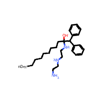 CCCCCCCCCCCCCCCCCCC(O)(NCCNCCN)C(c1ccccc1)c1ccccc1